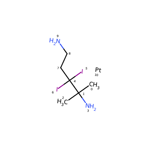 CC(C)(N)C(I)(I)CCN.[Pt]